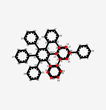 c1ccc(-c2nc(-c3ccccc3)nc(-c3ccccc3-c3c(-c4ccccc4)c(-c4ccccc4)c(-c4ccccc4)c(-c4ccccc4)c3-c3ccccc3)n2)cc1